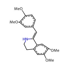 COc1ccc(C=C2NCCc3cc(OC)c(OC)cc32)cc1OC